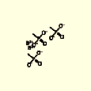 CP(=O)([O-])[O-].CP(=O)([O-])[O-].CP(=O)([O-])[O-].[B+3].[B+3]